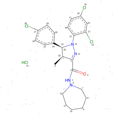 C[C@@H]1C(C(=O)NN2CCCCCC2)=NN(c2ccc(Cl)cc2Cl)[C@@H]1c1ccc(Cl)cc1.Cl